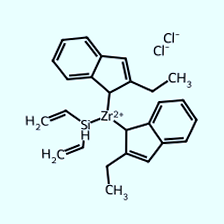 C=C[SiH](C=C)[Zr+2]([CH]1C(CC)=Cc2ccccc21)[CH]1C(CC)=Cc2ccccc21.[Cl-].[Cl-]